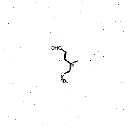 CCCCOC[C@H](C)CCC=O